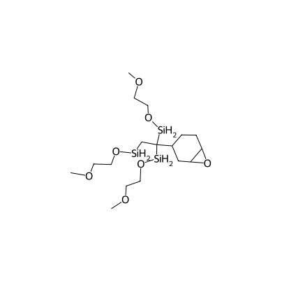 COCCO[SiH2]CC([SiH2]OCCOC)([SiH2]OCCOC)C1CCC2OC2C1